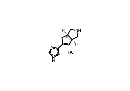 C1=C(c2c[nH]cn2)C[C@H]2CNC[C@@H]12.Cl